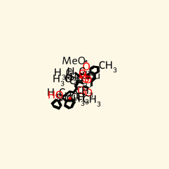 COCOc1cc(C)cc(/C=C/C[C@@H]2OC(C)(C)O[C@@H]2C(/C=C\[C@@H](C)[C@H](C)CC(C)(C)[Si](O)(c2ccccc2)c2ccccc2)O[Si](C)(C)C(C)(C)C)c1C(=O)OCC[Si](C)(C)C